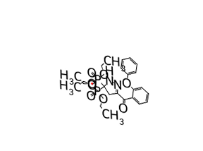 CCOP(=O)(OCC)C1(P(=O)(OCC)OCC)CC(C(=O)c2ccccc2Oc2ccccc2)=NN1